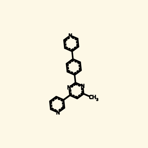 Cc1cc(-c2cccnc2)nc(-c2ccc(-c3ccncc3)cc2)n1